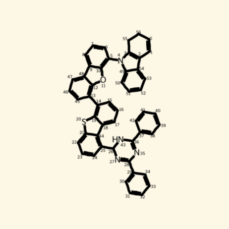 C1=Cc2c(n(-c3cccc4c3oc3c(-c5cccc6c5sc5cccc(C7N=C(c8ccccc8)N=C(c8ccccc8)N7)c56)cccc34)c3ccccc23)CC1